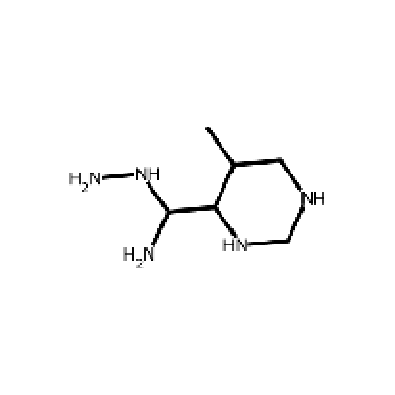 CC1CNCNC1C(N)NN